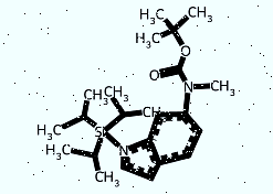 CC(C)[Si](C(C)C)(C(C)C)n1ccc2ccc(N(C)C(=O)OC(C)(C)C)cc21